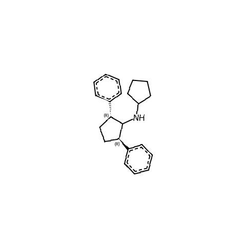 c1ccc([C@H]2CC[C@H](c3ccccc3)C2NC2CCCC2)cc1